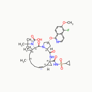 COc1ccc2c(O[C@@H]3C[C@H]4C(=O)N[C@]5(C(=O)NS(=O)(=O)C6CC6)C[C@H]5/C=C\CC[C@H](C)C[C@@H](C)[C@H](N(C(=O)O)C(C)(C)C)C(=O)N4C3)nccc2c1F